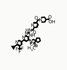 COCC1(CN(C)c2cc(-c3cnc(C4CC4)c(C(F)(F)F)c3)nc3nc(NC(=O)c4ccc(C(=O)N5CCC(C(=O)O)CC5)cn4)[nH]c23)CCCC1